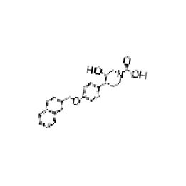 O=C(O)N1CCC(c2ccc(OCc3ccc4ccccc4c3)cc2)C(O)C1